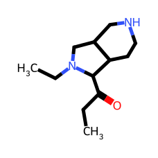 CCC(=O)C1C2CCNCC2CN1CC